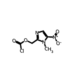 Cn1c([N+](=O)[O-])cnc1COC(=O)Cl